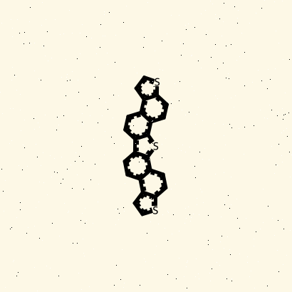 c1cc2c(ccc3c2ccc2c4ccc5c6ccsc6ccc5c4sc32)s1